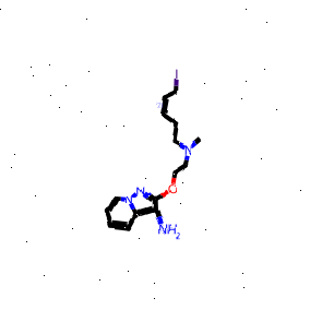 CN(CC/C=C\CI)CCOc1nn2ccccc2c1N